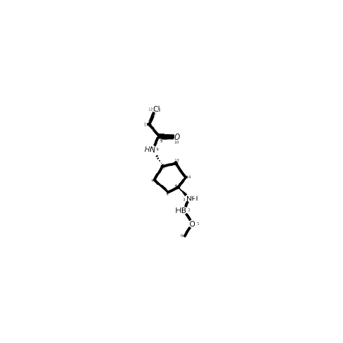 COBN[C@H]1CC[C@H](NC(=O)CCl)CC1